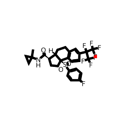 CC1(NC(=O)[C@@H]2CC[C@@]3(S(=O)(=O)c4ccc(F)cc4)c4ccc(C(F)(C(F)(F)F)C(F)(F)F)cc4CC[C@@H]23)CC1